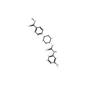 COC(=O)c1ccc([C@H]2CC[C@@H](CC(=O)Nc3cccc(Cl)c3)CC2)cc1